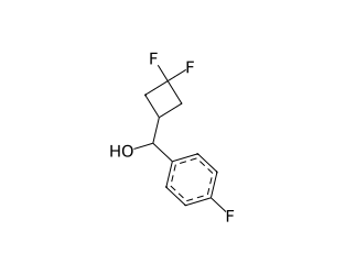 OC(c1ccc(F)cc1)C1CC(F)(F)C1